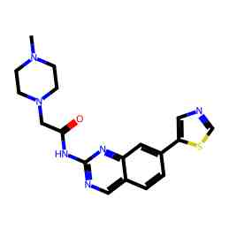 CN1CCN(CC(=O)Nc2ncc3ccc(-c4cncs4)cc3n2)CC1